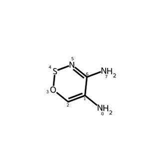 NC1=COSN=C1N